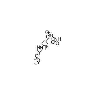 CS(=O)(=O)OC(c1ccc(-n2cc(COC3CCCCO3)cn2)c(F)c1)C1CNC(=O)O1